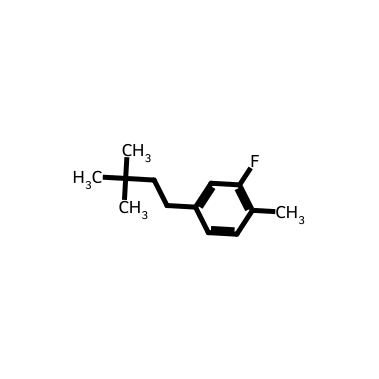 Cc1ccc(CCC(C)(C)C)cc1F